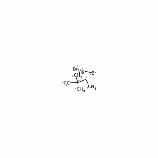 [Br][Mg][Br].[CH2]C(C)(C)CC